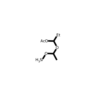 CCC(OC(C)=O)OC(C)O[SiH3]